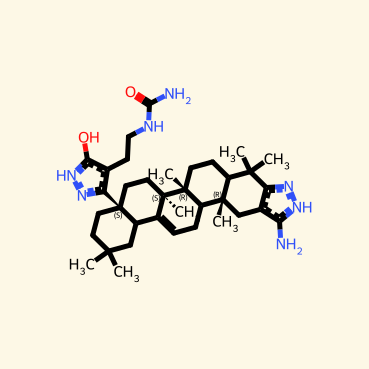 CC1(C)CC[C@]2(c3n[nH]c(O)c3CCNC(N)=O)CC[C@]3(C)C(=CCC4[C@@]5(C)Cc6c(n[nH]c6N)C(C)(C)C5CC[C@]43C)C2C1